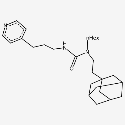 CCCCCCN(CCC12CC3CC(CC(C3)C1)C2)C(=O)NCCCc1ccncc1